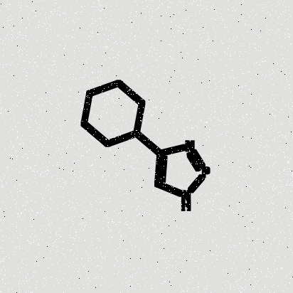 c1[nH]pnc1C1CCCCC1